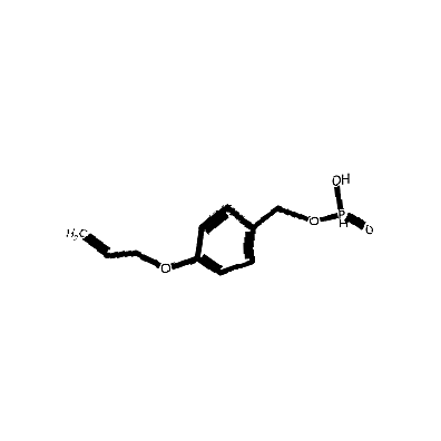 C=CCOc1ccc(CO[PH](=O)O)cc1